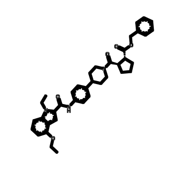 CCOc1cccc2c1cc(C(=O)Nc1ccc(C3CCN(C(=O)[C@@H]4CCC[C@H]4C(=O)OCc4ccccc4)CC3)cc1)n2CC